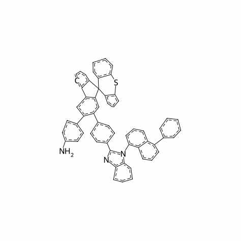 Nc1ccc(-c2cc3c(cc2-c2ccc(-c4nc5ccccc5n4-c4cccc5c(-c6ccccc6)cccc45)cc2)C2(c4ccccc4Sc4ccccc42)c2ccccc2-3)cc1